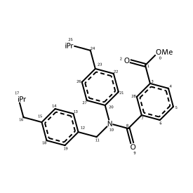 COC(=O)c1cccc(C(=O)N(Cc2ccc(CC(C)C)cc2)c2ccc(CC(C)C)cc2)c1